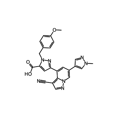 COc1ccc(Cn2nc(-c3cc(-c4cnn(C)c4)cn4ncc(C#N)c34)cc2C(=O)O)cc1